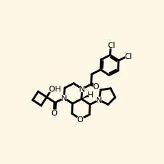 O=C(Cc1ccc(Cl)c(Cl)c1)N1CCN(C(=O)C2(O)CCC2)C2COCC(N3CCCC3)[C@H]21